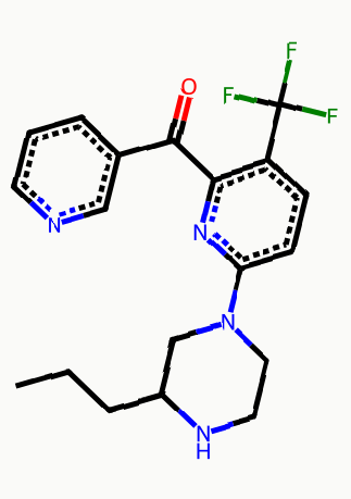 CCCC1CN(c2ccc(C(F)(F)F)c(C(=O)c3cccnc3)n2)CCN1